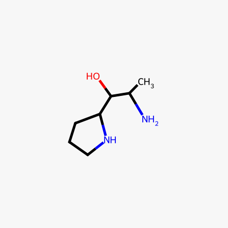 CC(N)C(O)C1CCCN1